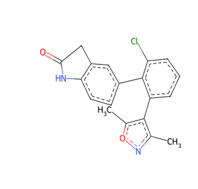 Cc1noc(C)c1-c1cccc(Cl)c1-c1ccc2c(c1)CC(=O)N2